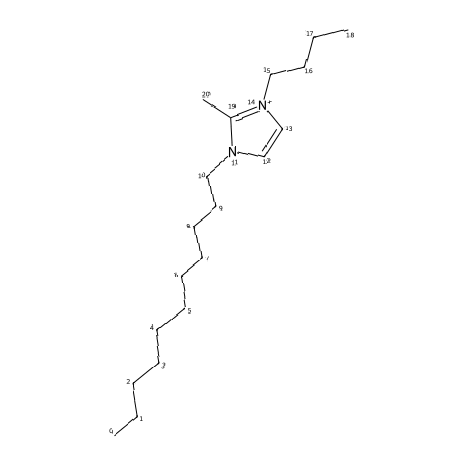 CCCCCCCCCCCn1cc[n+](CCCC)c1C